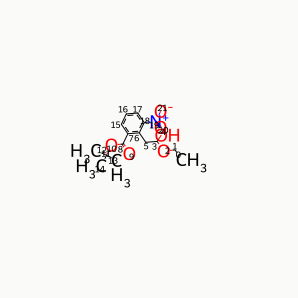 CCOC(O)Cc1c(C(=O)OC(C)(C)C)cccc1[N+](=O)[O-]